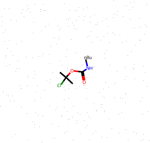 CCCCNC(=O)OC(C)(C)Cl